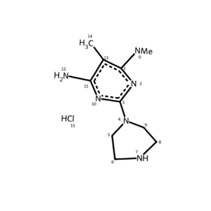 CNc1nc(N2CCNCC2)nc(N)c1C.Cl